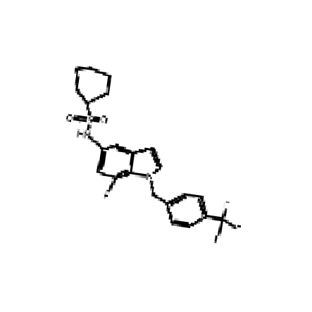 O=S(=O)(Nc1cc(F)c2c(ccn2Cc2ccc(C(F)(F)F)cc2)c1)C1CCCCC1